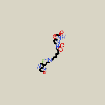 Cn1c(=O)ccc2ncc(F)c(CCCNCCCCCC3CN(c4ccc5c(n4)NC(=O)CO5)C(=O)O3)c21